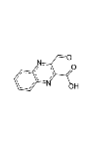 O=Cc1nc2ccccc2nc1C(=O)O